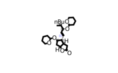 CCCC[C@@H](C)[C@@H](/C=C/[C@@H]1[C@H]2CC(=O)O[C@H]2C[C@H]1OC1CCCCO1)OC1CCCCO1